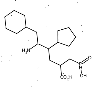 NC(CC1CCCCC1)C(CC(C[PH](=O)O)C(=O)O)C1CCCC1